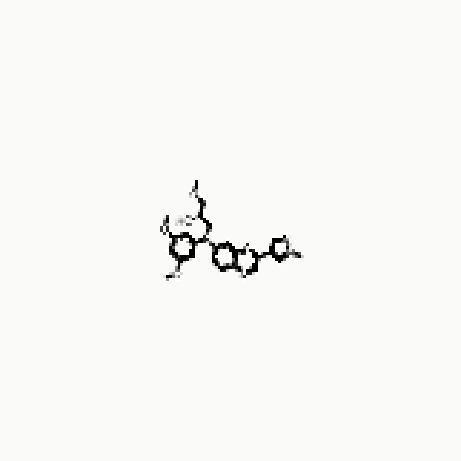 COC[C@H](O)CN(c1cc(OC)cc(OC)c1)c1ccc2ncc(-c3cnn(C)c3)nc2c1